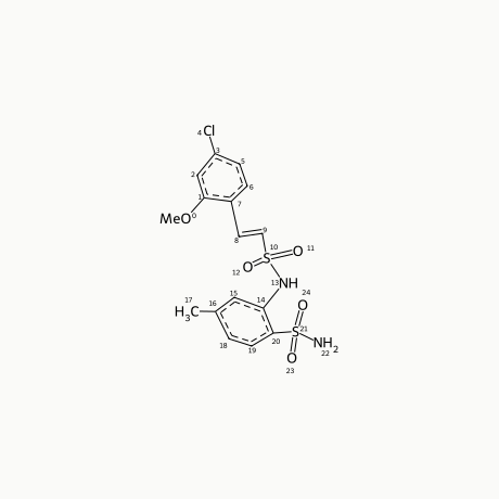 COc1cc(Cl)ccc1C=CS(=O)(=O)Nc1cc(C)ccc1S(N)(=O)=O